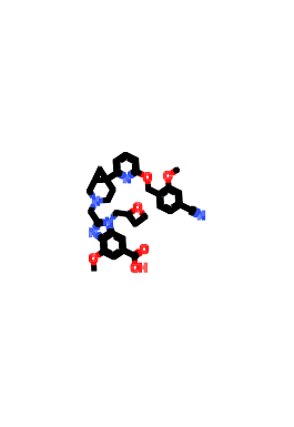 COc1cc(C#N)ccc1COc1cccc(C23CCN(Cc4nc5c(OC)cc(C(=O)O)cc5n4CC4CCO4)CC2C3)n1